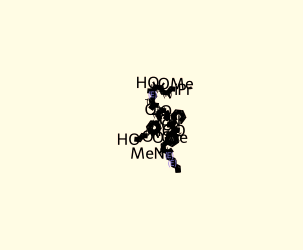 C=C/C=C/C=C(\C)[C@H](CC1CC[C@@H](C)[C@](O)(C(=O)C(=O)N2CCCC[C@H]2C(=O)O[C@@H](CC(=O)[C@H](C)/C=C(\C)[C@@H](O)[C@H](C[C@H](C)CC(C)C)OC)[C@H](C)C[C@@H]2CC[C@@H](OCCO)[C@H](OC)C2)O1)NC